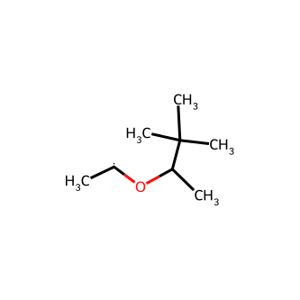 C[CH]OC(C)C(C)(C)C